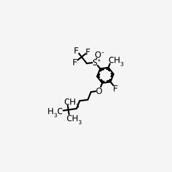 Cc1cc(F)c(OCCCCC(C)(C)C)cc1[S+]([O-])CC(F)(F)F